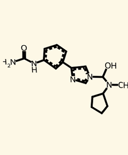 CN(C1CCCC1)C(O)n1cnc(-c2cccc(NC(N)=O)c2)c1